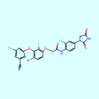 N#Cc1cc(Cl)cc(Oc2c(Br)ccc(OCC(=O)Nc3ccc(N4CC(=O)NC4=O)cc3Cl)c2F)c1